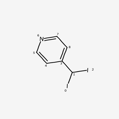 IC(I)c1ccncc1